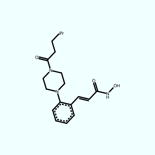 CC(C)CCC(=O)N1CCN(c2ccccc2C=CC(=O)NO)CC1